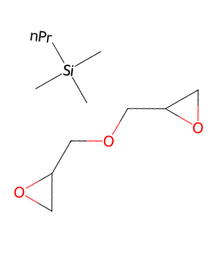 C(OCC1CO1)C1CO1.CCC[Si](C)(C)C